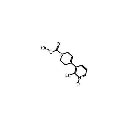 CCc1c(C2=CCN(C(=O)OC(C)(C)C)CC2)ccc[n+]1[O-]